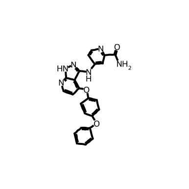 NC(=O)c1cc(Nc2n[nH]c3nccc(Oc4ccc(Oc5ccccc5)cc4)c23)ccn1